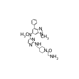 CN(c1cc(-c2ccccc2)c2ncn(C)c2c1)c1ccnc(NCC2CCN(C(=O)CN)CC2)n1